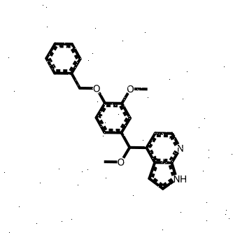 COc1cc(C(OC)c2ccnc3[nH]ccc23)ccc1OCc1ccccc1